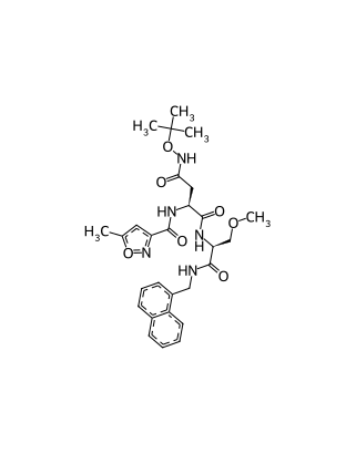 COC[C@H](NC(=O)[C@H](CC(=O)NOC(C)(C)C)NC(=O)c1cc(C)on1)C(=O)NCc1cccc2ccccc12